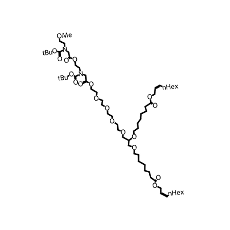 CCCCCC/C=C\COC(=O)CCCCCCCOCC(COCCOCCOCCOCCOC(=O)CN(CCOC(=O)CN(CCOC)C(=O)OC(C)(C)C)C(=O)OC(C)(C)C)OCCCCCCCC(=O)OC/C=C\CCCCCC